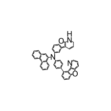 C1=Cc2c(oc3ccc(N(c4ccc(-c5cccc6oc7cccnc7c56)cc4)c4cc5ccccc5c5ccccc45)cc23)NC1